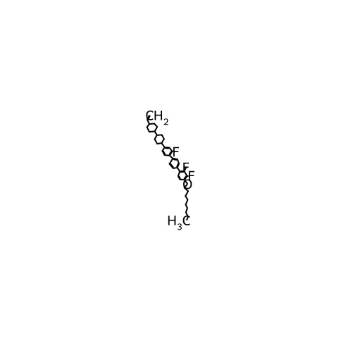 C=CC1CCC(C2CCC(c3ccc(-c4ccc(-c5ccc(OCCCCCCCCC)c(F)c5F)cc4)c(F)c3)CC2)CC1